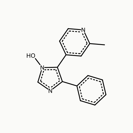 Cc1cc(-c2c(-c3ccccc3)ncn2O)ccn1